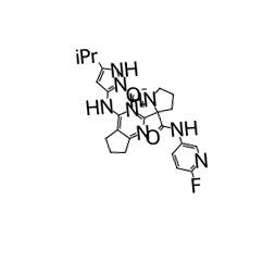 CC(C)c1cc(Nc2c3c(nc(C4(C(=O)Nc5ccc(F)nc5)CCCN4)[n+]2[O-])CCC3)n[nH]1